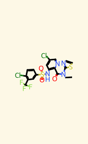 CCN(C(=O)c1ncc(Cl)cc1NS(=O)(=O)c1ccc(Cl)c(C(F)(F)F)c1)c1nccs1